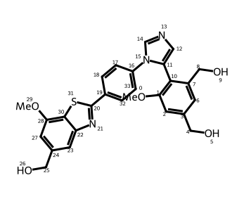 COc1cc(CO)cc(CO)c1-c1cncn1-c1ccc(-c2nc3cc(CO)cc(OC)c3s2)cc1